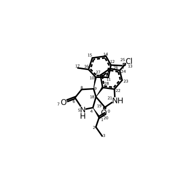 C=C(CC)[C@H]1NC(=O)C[C@@H](c2cc(F)ccc2C)[C@]12C(=O)Nc1cc(Cl)ccc12